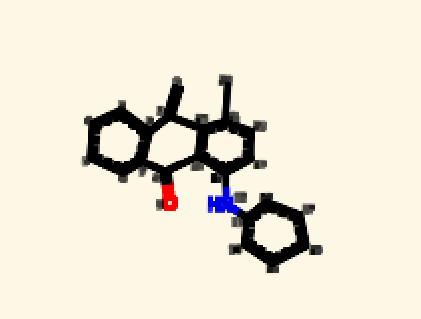 C=C1c2ccccc2C(=O)c2c(Nc3ccccc3)ccc(C)c21